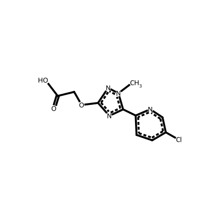 Cn1nc(OCC(=O)O)nc1-c1ccc(Cl)cn1